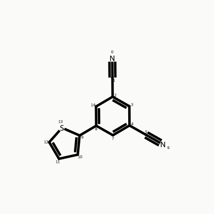 N#Cc1cc(C#N)cc(-c2cccs2)c1